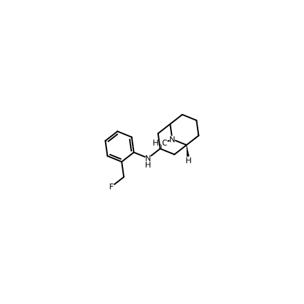 CN1C2CCC[C@@H]1CC(Nc1ccccc1CF)C2